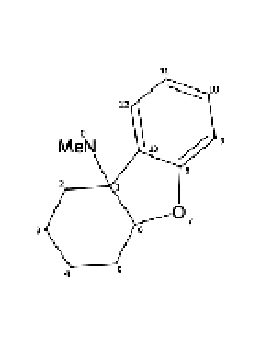 CNC12CCCCC1Oc1ccccc12